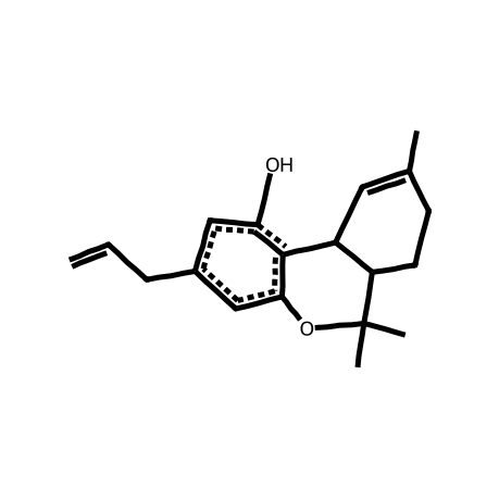 C=CCc1cc(O)c2c(c1)OC(C)(C)C1CCC(C)=CC21